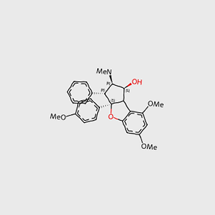 CN[C@@H]1[C@@H](c2ccccc2)[C@]2(c3ccc(OC)cc3)Oc3cc(OC)cc(OC)c3C2[C@@H]1O